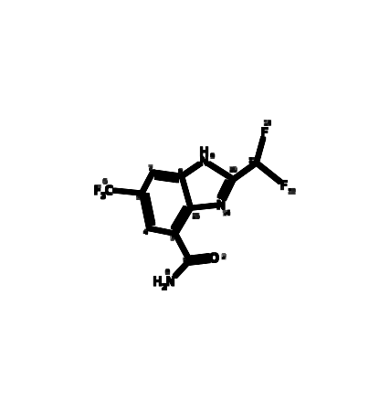 NC(=O)c1cc(C(F)(F)F)cc2[nH]c(C(F)F)nc12